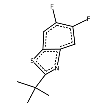 CC(C)(C)c1nc2cc(F)c(F)cc2s1